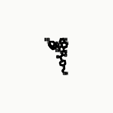 O=C(c1nc(-c2cnc3[nH]ccc3c2N[C@H]2[C@@H]3CC4C[C@H]2C[C@@](O)(C4)C3)no1)N1CCN(CCO)CC1